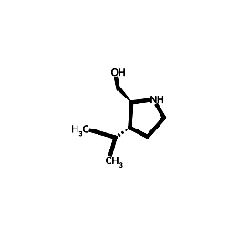 CC(C)[C@H]1CCN[C@@H]1CO